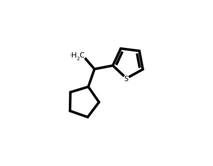 [CH2]C(c1cccs1)C1CCCC1